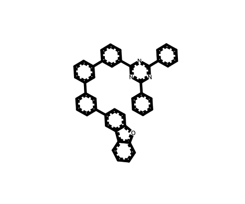 c1ccc(-c2nc(-c3ccccc3)nc(-c3cccc(-c4cccc(-c5cccc(-c6ccc7oc8ccccc8c7c6)c5)c4)c3)n2)cc1